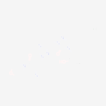 O=C(c1ncccc1-n1cnc(Cn2nc(-c3ccc(Cl)cc3)n(C[C@@H](O)C(F)(F)F)c2=O)n1)N1CCOCC1